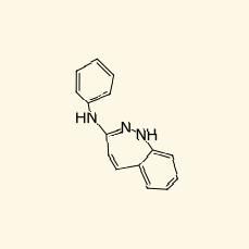 C1=Cc2ccccc2NN=C1Nc1ccccc1